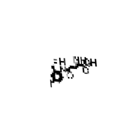 N[C@@H](CCC(=O)Nc1ccc(I)cc1CF)C(=O)O